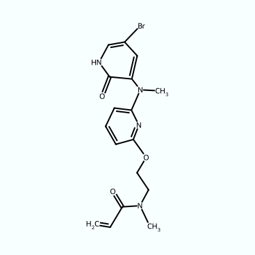 C=CC(=O)N(C)CCOc1cccc(N(C)c2cc(Br)c[nH]c2=O)n1